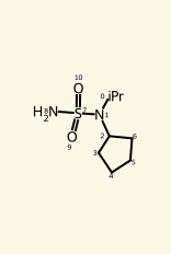 CC(C)N(C1CCCC1)S(N)(=O)=O